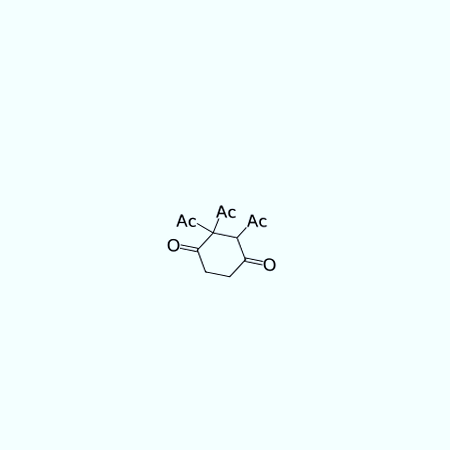 CC(=O)C1C(=O)CCC(=O)C1(C(C)=O)C(C)=O